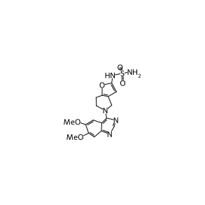 COc1cc2ncnc(N3CCc4oc(NS(N)(=O)=O)cc4C3)c2cc1OC